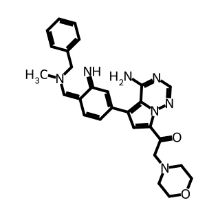 CN(/C=C1/C=CC(c2cc(C(=O)CN3CCOCC3)n3ncnc(N)c23)=CC1=N)Cc1ccccc1